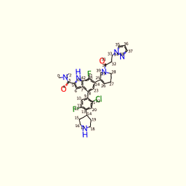 CN(C)C(=O)c1cc2c(-c3cc(F)c(C4CCNCC4)cc3Cl)cc(C3=CCCN(C(=O)CCn4cccn4)C3)c(F)c2[nH]1